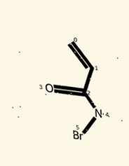 C=CC(=O)[N]Br